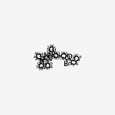 Brc1c(-c2cccc3ccccc23)oc2ccc(-c3ccc4c(c3)c3ccccc3n4-c3nc(-c4ccccc4)c4c(n3)c3ccccc3n4-c3ccccc3)cc12